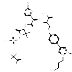 C[n+]1cc(-c2ccc(OCC(O/N=C(\C(=O)N[C@@H]3C(=O)N(OS(=O)(=O)O)C3(C)C)c3csc(N)n3)C(=O)O)cc2)cn1CCCN.O=C(O)C(F)(F)F